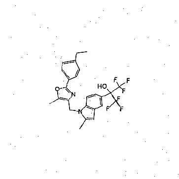 CCc1ccc(-c2nc(Cn3c(C)cc4cc(C(O)(C(F)(F)F)C(F)(F)F)ccc43)c(C)o2)cc1